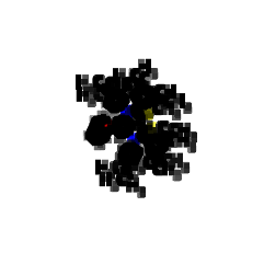 CC(C)(C)c1ccc(N2c3cc(C45CC6CC(CC(C6)C4)C5)cc4c3B(c3sc5c(C(C)(C)C)cc(C(C)(C)C)cc5c32)c2sc3c(C(C)(C)C)cc(C(C)(C)C)cc3c2N4c2ccc(C(C)(C)C)cc2)cc1